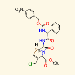 CC(C)(C)OC(=O)C1C(CCl)=CS[C@H]2C(NC(=O)C(NC(=O)OCc3ccc([N+](=O)[O-])cc3)c3ccccc3)C(=O)N12